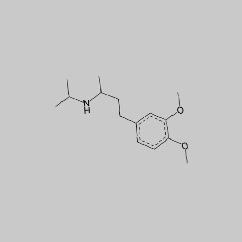 COc1ccc(CCC(C)NC(C)C)cc1OC